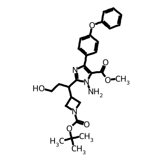 COC(=O)c1c(-c2ccc(Oc3ccccc3)cc2)nc(C(CCO)C2CN(C(=O)OC(C)(C)C)C2)n1N